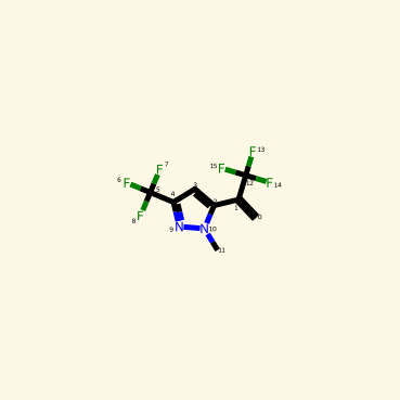 C=C(c1cc(C(F)(F)F)nn1C)C(F)(F)F